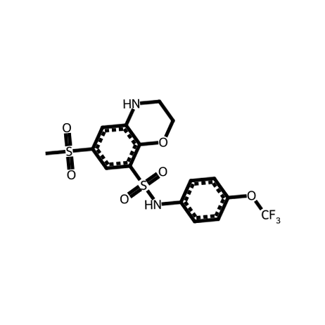 CS(=O)(=O)c1cc2c(c(S(=O)(=O)Nc3ccc(OC(F)(F)F)cc3)c1)OCCN2